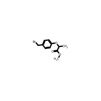 COC(=O)C(C)Oc1ccc(CBr)cc1